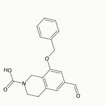 O=Cc1cc2c(c(OCc3ccccc3)c1)CN(C(=O)O)CC2